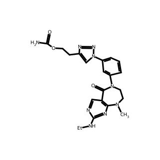 CCNc1ncc2c(n1)N(C)CCN(c1cccc(-n3cc(CCOC(N)=O)nn3)c1)C2=O